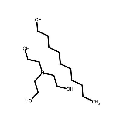 CCCCCCCCCCO.OCCN(CCO)CCO